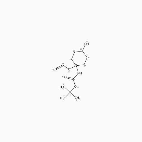 CC(C)(C)OC(=O)NC1(OC=O)CCC(O)CC1